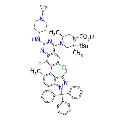 Cc1ccc2c(c(I)nn2C(c2ccccc2)(c2ccccc2)c2ccccc2)c1-c1c(Cl)cc2c(N3C[C@@](C)(C(C)(C)C)N(C(=O)O)C[C@@H]3C)nc(NC3CCN(C4CC4)CC3)nc2c1F